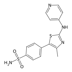 Cc1nc(Nc2ccncc2)sc1-c1ccc(S(N)(=O)=O)cc1